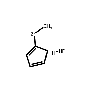 F.F.[CH3][Zr][C]1=CC=CC1